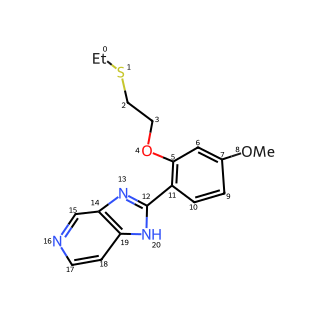 CCSCCOc1cc(OC)ccc1-c1nc2cnccc2[nH]1